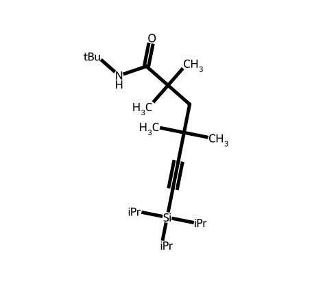 CC(C)[Si](C#CC(C)(C)CC(C)(C)C(=O)NC(C)(C)C)(C(C)C)C(C)C